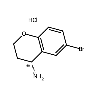 Cl.N[C@@H]1CCOc2ccc(Br)cc21